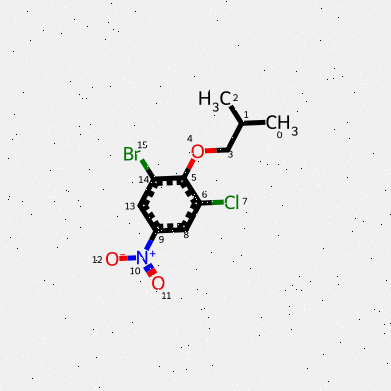 CC(C)COc1c(Cl)cc([N+](=O)[O-])cc1Br